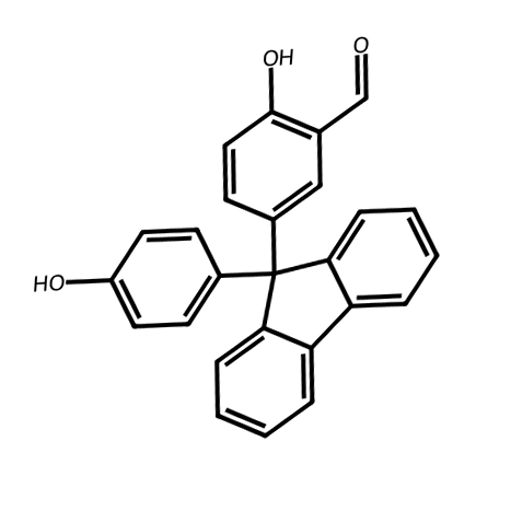 O=Cc1cc(C2(c3ccc(O)cc3)c3ccccc3-c3ccccc32)ccc1O